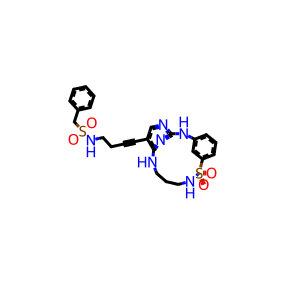 O=S(=O)(Cc1ccccc1)NCCC#Cc1cnc2nc1NCCCNS(=O)(=O)c1cccc(c1)N2